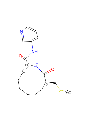 CC(=O)SC[C@H]1CCCCCC[C@H](C(=O)Nc2cccnc2)NC1=O